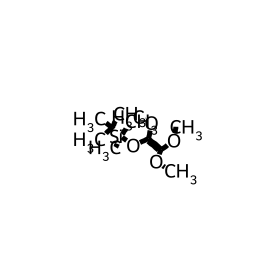 COC(OC)=C(OC)O[Si](C)(C)C(C)(C)C